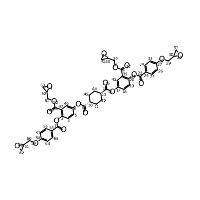 O=C(Oc1ccc(OC(=O)[C@H]2CC[C@H](C(=O)Oc3ccc(OC(=O)c4ccc(OCC5CO5)cc4)c(C(=O)OCC4CO4)c3)CC2)cc1C(=O)OCC1CO1)c1ccc(OCC2CO2)cc1